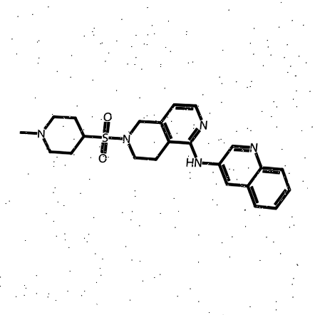 CN1CCC(S(=O)(=O)N2CCc3c(ccnc3Nc3cnc4ccccc4c3)C2)CC1